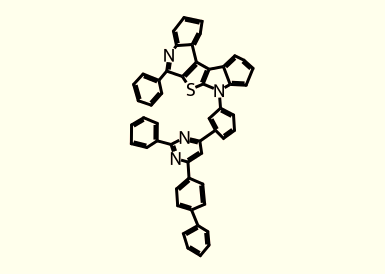 c1ccc(-c2ccc(-c3cc(-c4cccc(-n5c6ccccc6c6c7c(sc65)c(-c5ccccc5)nc5ccccc57)c4)nc(-c4ccccc4)n3)cc2)cc1